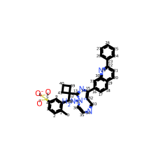 Cc1ccc(S(=O)(=O)[O-])cc1CC1(C2=NC(c3ccc4ccc(-c5ccccc5)nc4c3)=C3C=NC=C[N+]23N)CCC1